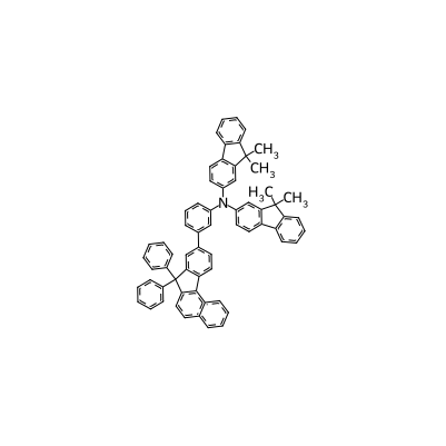 CC1(C)c2ccccc2-c2ccc(N(c3cccc(-c4ccc5c(c4)C(c4ccccc4)(c4ccccc4)c4ccc6ccccc6c4-5)c3)c3ccc4c(c3)C(C)(C)c3ccccc3-4)cc21